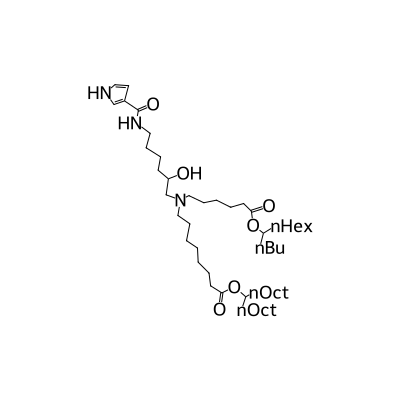 CCCCCCCCC(CCCCCCCC)OC(=O)CCCCCCCN(CCCCCC(=O)OC(CCCC)CCCCCC)CC(O)CCCCNC(=O)c1cc[nH]c1